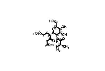 CCCCCCCCCCCCN(C(=O)CCCCCCCCCCC)[C@@H]1O[C@@H](CO)[C@H](O)[C@@H](O)[C@H]1NC(=O)[C@@H](C)N